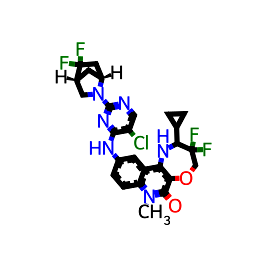 Cn1c(=O)c2c(c3cc(Nc4nc(N5C[C@H]6C[C@@H]5CC6(F)F)ncc4Cl)ccc31)NC(C1CC1)C(F)(F)CO2